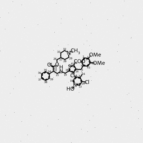 COc1ccc([C@H](Cc2c(Cl)c[n+](O)cc2Cl)c2cc(CNCC(C(=O)OCC3CCN(C)CC3)c3ccccc3)sc2C(=O)[O-])cc1OC